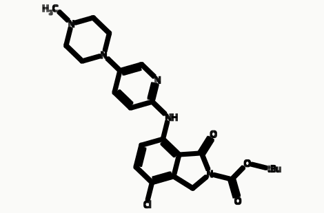 CN1CCN(c2ccc(Nc3ccc(Cl)c4c3C(=O)N(C(=O)OC(C)(C)C)C4)nc2)CC1